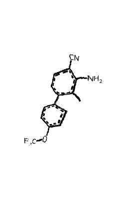 Cc1c(-c2ccc(OC(F)(F)F)cc2)ccc(C#N)c1N